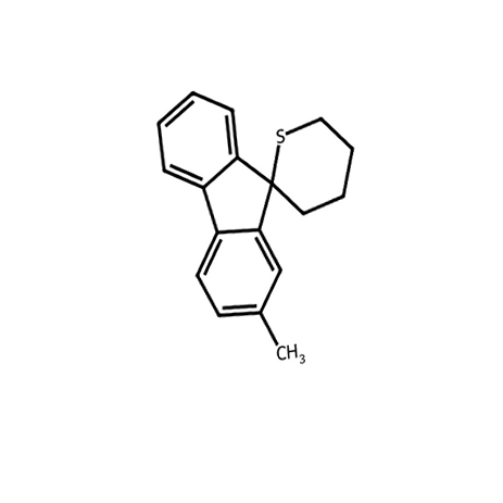 Cc1ccc2c(c1)C1(CCCCS1)c1ccccc1-2